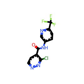 O=C(Nc1ccc(C(F)(F)F)nc1)c1ccnnc1Cl